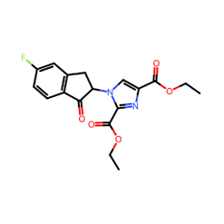 CCOC(=O)c1cn(C2Cc3cc(F)ccc3C2=O)c(C(=O)OCC)n1